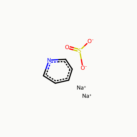 O=S([O-])[O-].[Na+].[Na+].c1ccncc1